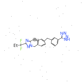 CCC(C)c1nc(C(F)(F)CC)nn1Cc1ccc(Cc2cccc(-c3nnn[nH]3)c2)cc1